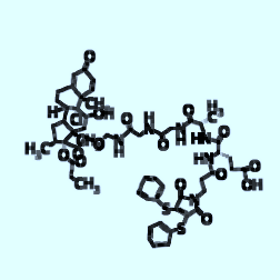 CCC(=O)O[C@]1(C(=O)COCNC(=O)CNC(=O)CNC(=O)[C@H](C)NC(=O)[C@H](CCC(=O)O)NC(=O)CCN2C(=O)C(Sc3ccccc3)=C(Sc3ccccc3)C2=O)[C@@H](C)CC2[C@@H]3CCC4=CC(=O)C=C[C@]4(C)[C@@]3(Cl)[C@@H](O)C[C@@]21C